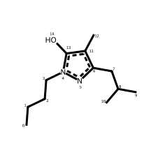 CCCCn1nc(CC(C)C)c(C)c1O